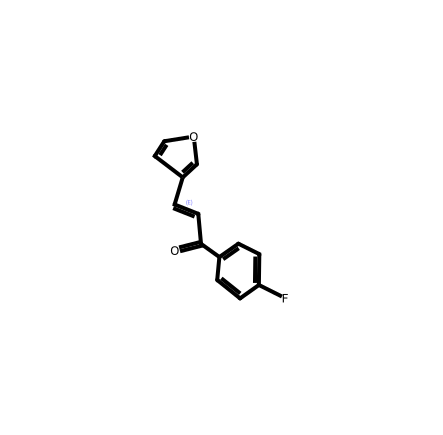 O=C(/C=C/c1ccoc1)c1ccc(F)cc1